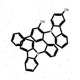 N#Cc1ccc2c(c1)c1ccccc1n2-c1c(C#N)cc(-c2ccccc2)cc1-c1ccccc1-n1c2ccccc2c2ccccc21